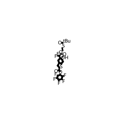 CC(C)(C)C(=O)SCCOP(=O)(O)C(F)(F)c1ccc2sc(C(=O)Oc3c(F)c(F)c(F)c(F)c3F)cc2c1